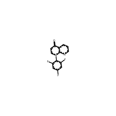 O=c1ccn(-c2c(F)cc(F)cc2F)c2ncccc12